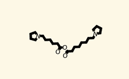 O=C(CCCCCCCN1CCCC1)OC(=O)CCCCCN1CCCC1